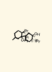 CC1CCC(C(C)C)C(O)([C@]2(C)CC[C@@H](C(C)C)[C@H](O)C2)C1